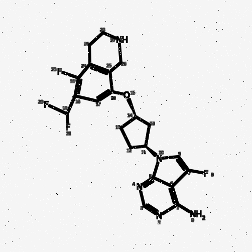 Nc1ncnc2c1c(F)cn2[C@H]1CC[C@@H](Oc2cc(C(F)F)c(F)c3c2CNCC3)C1